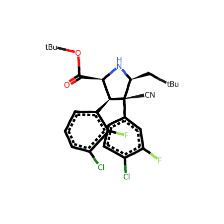 CC(C)(C)C[C@@H]1N[C@H](C(=O)OC(C)(C)C)[C@H](c2cccc(Cl)c2F)[C@@]1(C#N)c1ccc(Cl)c(F)c1